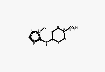 Cn1ccnc1SC1CCN(C(=O)O)CC1